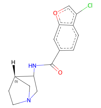 O=C(NC1CN2CC[C@H]1C2)c1ccc2c(Cl)coc2c1